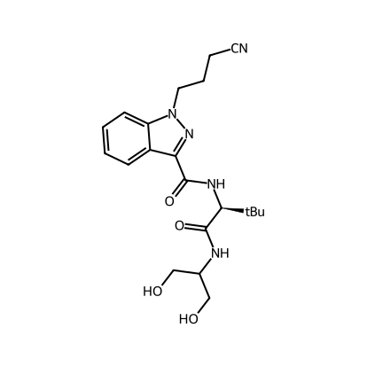 CC(C)(C)[C@H](NC(=O)c1nn(CCCC#N)c2ccccc12)C(=O)NC(CO)CO